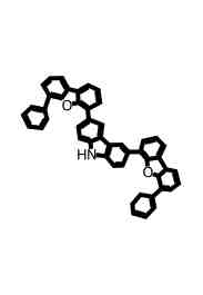 C1=CCCC(C2=CC=CC3c4cccc(-c5ccc6[nH]c7ccc(-c8cccc9c8oc8c(-c%10ccccc%10)cccc89)cc7c6c5)c4OC23)=C1